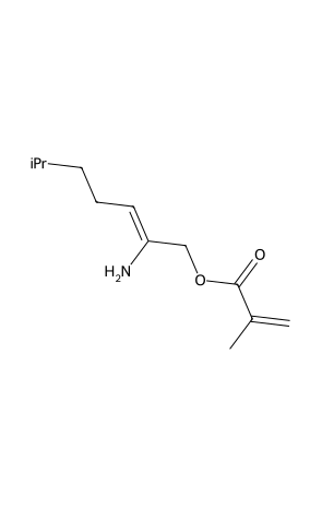 C=C(C)C(=O)OCC(N)=CCCC(C)C